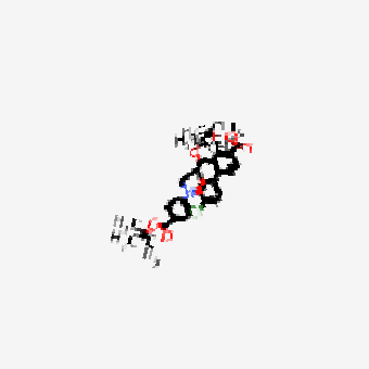 CC(C)(C)OC(=O)c1ccc(N2CCC(C(O[Si](C)(C)C(C)(C)C)c3cc(C(=O)O)ccc3-c3ccc(Cl)cc3)CC2)cc1